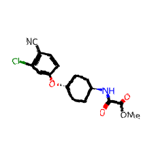 COC(=O)C(=O)N[C@H]1CC[C@H](Oc2ccc(C#N)c(Cl)c2)CC1